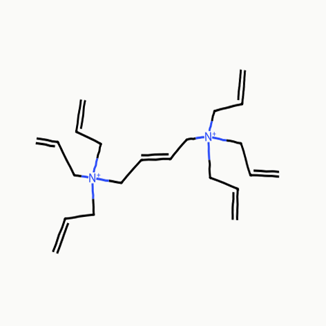 C=CC[N+](CC=C)(CC=C)C/C=C/C[N+](CC=C)(CC=C)CC=C